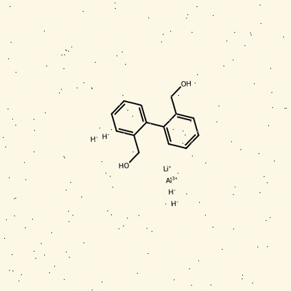 OCc1ccccc1-c1ccccc1CO.[Al+3].[H-].[H-].[H-].[H-].[Li+]